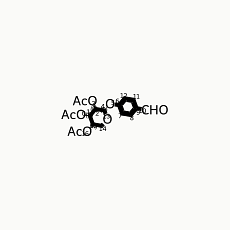 CC(=O)O[C@@H]1[C@@H](OC(C)=O)[C@H](Oc2ccc(C=O)cc2)OC[C@H]1OC(C)=O